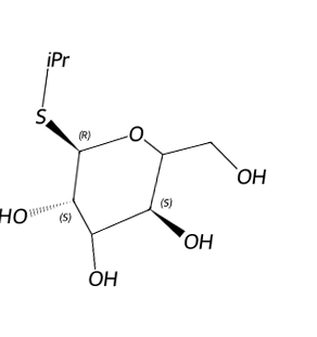 CC(C)S[C@H]1OC(CO)[C@@H](O)C(O)[C@@H]1O